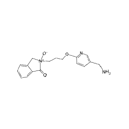 NCc1ccc(OCCC[N+]2([O-])Cc3ccccc3C2=O)nc1